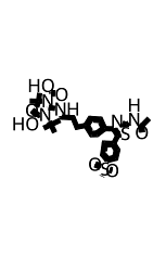 CC(=O)Nc1nc(-c2ccc(CCCNC(N(C(=O)O)C(C)(C)C)N(C(=O)O)C(C)(C)C)cc2)c(-c2ccc(S(C)(=O)=O)cc2)s1